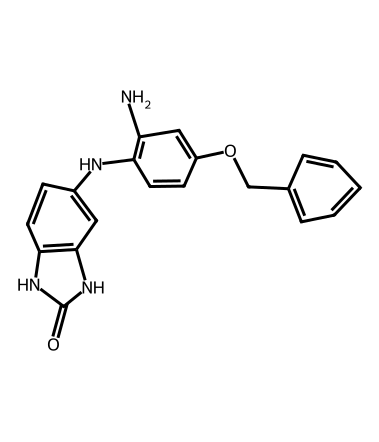 Nc1cc(OCc2ccccc2)ccc1Nc1ccc2[nH]c(=O)[nH]c2c1